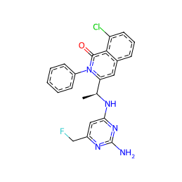 C[C@H](Nc1cc(CF)nc(N)n1)c1cc2cccc(Cl)c2c(=O)n1-c1ccccc1